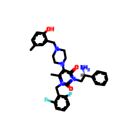 Cc1ccc(O)c(CN2CCN(c3c(C)n(Cc4c(F)cccc4F)c(=O)n(C[C@H](N)c4ccccc4)c3=O)CC2)c1